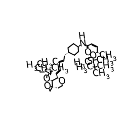 CC[Si](CC)(CC)O[C@@H]1[C@@H](/C=C/C(C)=C/C[C@H]2CC[C@H](NC(=O)/C=C\[C@H](C)O[Si](C)(C)C(C)(C)C)CC2)OCC[C@@]12CO2